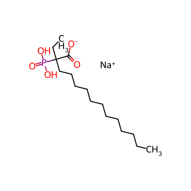 CCCCCCCCCCCCC(CC)(C(=O)[O-])P(=O)(O)O.[Na+]